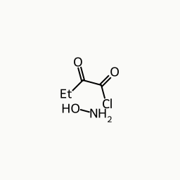 CCC(=O)C(=O)Cl.NO